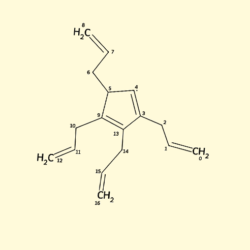 C=CCC1=[C]C(CC=C)C(CC=C)=C1CC=C